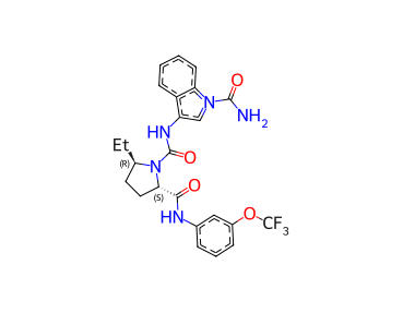 CC[C@@H]1CC[C@@H](C(=O)Nc2cccc(OC(F)(F)F)c2)N1C(=O)Nc1cn(C(N)=O)c2ccccc12